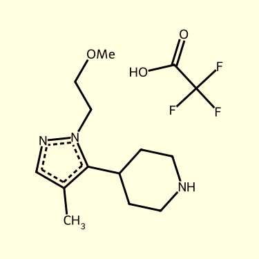 COCCn1ncc(C)c1C1CCNCC1.O=C(O)C(F)(F)F